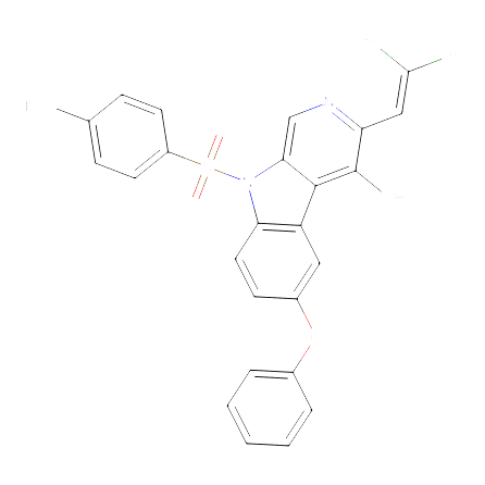 Cc1ccc(S(=O)(=O)n2c3ccc(Oc4ccccc4)cc3c3c(C)c(C=C(Br)Br)ncc32)cc1